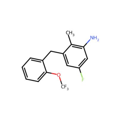 Cc1c(N)cc(F)cc1Cc1ccccc1OC(F)(F)F